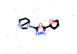 c1coc(-c2nnc(N3CCN4CCC3CC4)o2)c1